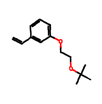 C=Cc1cccc(OCCOC(C)(C)C)c1